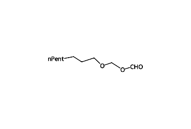 CCCCCCCCOCOC=O